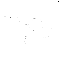 Cl.Cl.NCCc1ccc2[nH]cnc2c1